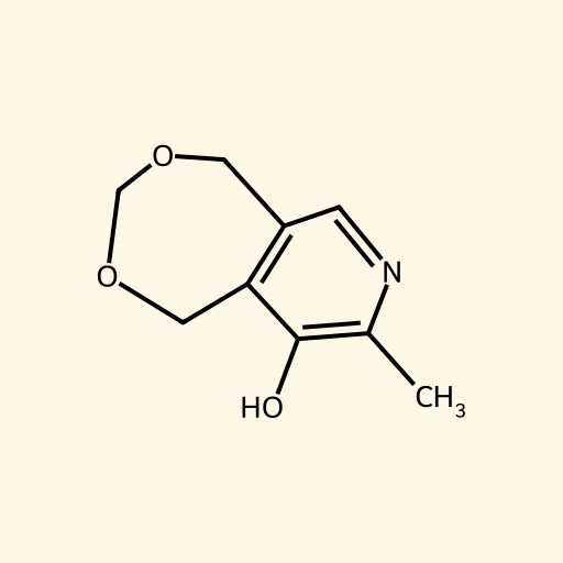 Cc1ncc2c(c1O)COCOC2